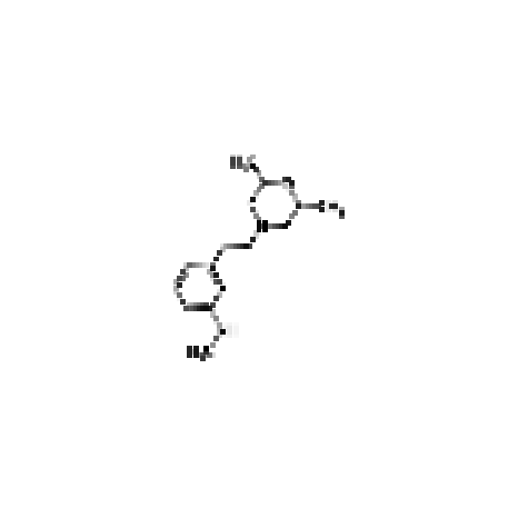 CNc1cccc(CCN2CC(C)OC(C)C2)c1